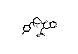 NC1(Cc2ccc(Cl)cc2)CCCN(C(=O)C(CC(=O)O)Cc2cccnc2)C1